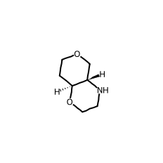 C1CO[C@H]2CCOC[C@@H]2N1